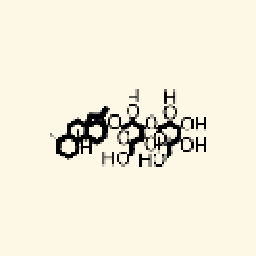 C=C1CC23CCC4[C@@H](C)CCC[C@@]4(C)[C@@H]2CCC1(OC1OC(CO)C(O)C(OC2OC(CO)C(O)C(O)C2O)C1O)C3